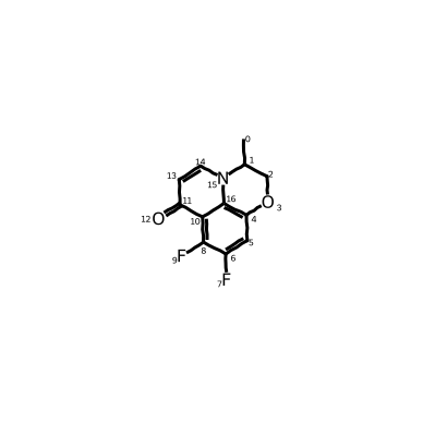 CC1COc2cc(F)c(F)c3c(=O)ccn1c23